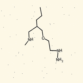 CCCC(CNC)COCCNN